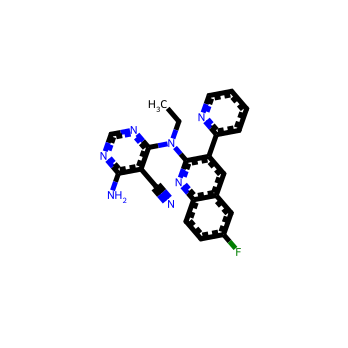 CCN(c1nc2ccc(F)cc2cc1-c1ccccn1)c1ncnc(N)c1C#N